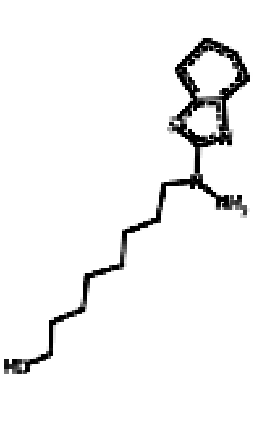 NN(CCCCCCCCO)c1nc2ccccc2s1